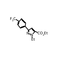 CCOC(=O)c1cc(-c2ccc(C(F)(F)F)cc2)nn1CC